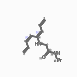 C=C/C=C\C(=C/C=C)NCC(=O)NC(C)C